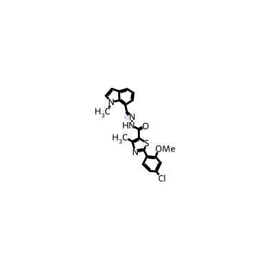 COc1cc(Cl)ccc1-c1nc(C)c(C(=O)N/N=C/c2cccc3ccn(C)c23)s1